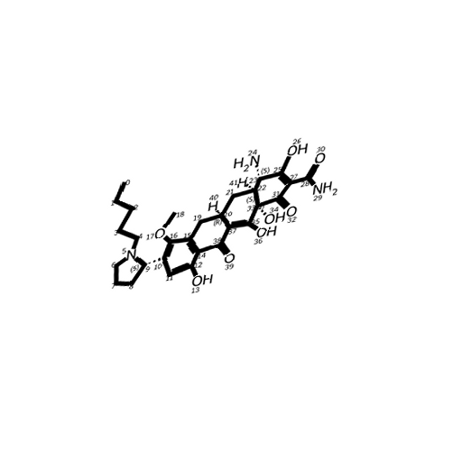 CCCCCN1CCC[C@H]1c1cc(O)c2c(c1OC)C[C@H]1C[C@H]3[C@H](N)C(O)=C(C(N)=O)C(=O)[C@@]3(O)C(O)=C1C2=O